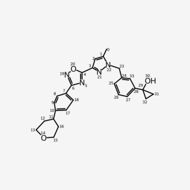 Cc1cc(-c2nc(-c3ccc(C4CCOCC4)cc3)no2)nn1Cc1cccc(C2(O)CC2)c1